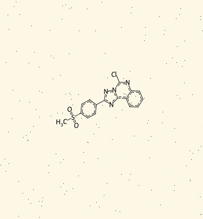 CS(=O)(=O)c1ccc(-c2nc3c4ccccc4nc(Cl)n3n2)cc1